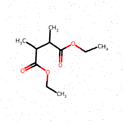 CCOC(=O)C(C)C(C)C(=O)OCC